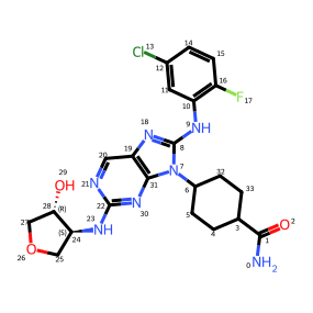 NC(=O)C1CCC(n2c(Nc3cc(Cl)ccc3F)nc3cnc(N[C@H]4COC[C@@H]4O)nc32)CC1